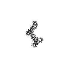 c1ccc(-c2nc(-c3ccc(-c4nc(-c5ccc6c(ccc7ccccc76)c5)nc5ccccc45)cc3)nc3c2sc2ccccc23)cc1